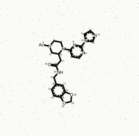 CC(=O)N1CCN(c2ccnc(-n3ccnc3)n2)C(CC(=O)NCc2ccc3c(c2)OCO3)C1